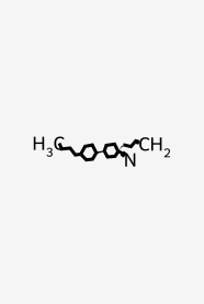 C=CCC[C@]1(C#N)CC[C@@H](C2CCC(CCCC)CC2)CC1